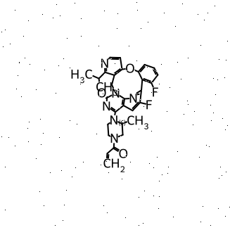 C=CC(=O)N1CCN(c2nc(=O)n3c4nc(c(F)cc24)-c2c(F)cccc2Oc2ccnc(C(C)C)c2C3)[C@@H](C)C1